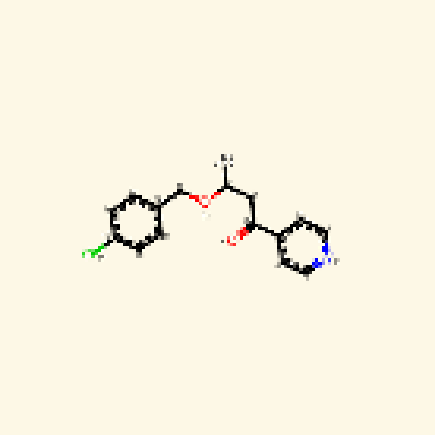 CCC(CC(=O)c1ccncc1)OCc1ccc(Cl)cc1